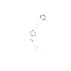 CC1=C(CN2CC(C(=O)O)C2)CCc2cc(OCCCc3c(F)cc(F)cc3F)ccc21